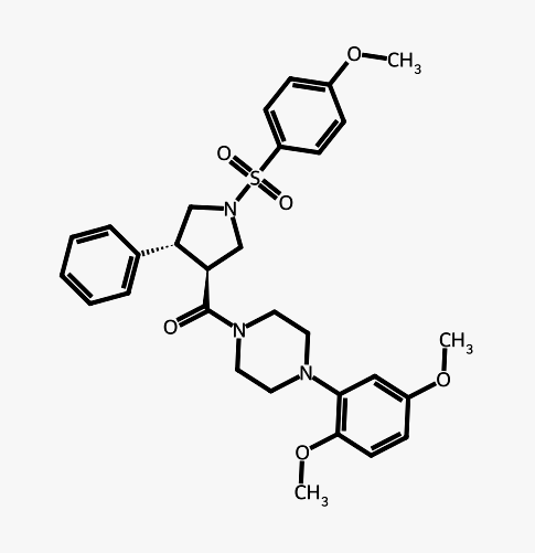 COc1ccc(S(=O)(=O)N2C[C@@H](C(=O)N3CCN(c4cc(OC)ccc4OC)CC3)[C@H](c3ccccc3)C2)cc1